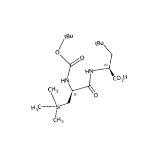 CC(C)(C)C[C@H](NC(=O)[C@@H](C[Si](C)(C)C)NC(=O)OC(C)(C)C)C(=O)O